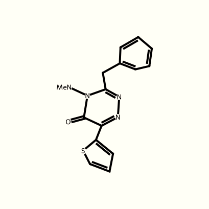 CNn1c(Cc2ccccc2)nnc(-c2cccs2)c1=O